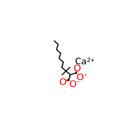 CCCCCCCC(C)(C)C(C(=O)[O-])C(=O)[O-].[Ca+2]